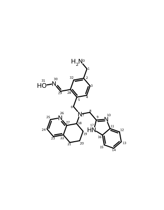 NCc1ccc(CN(Cc2nc3ccccc3[nH]2)C2CCCc3cccnc32)c(/C=N/O)c1